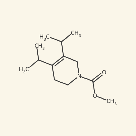 COC(=O)N1CCC(C(C)C)=C(C(C)C)C1